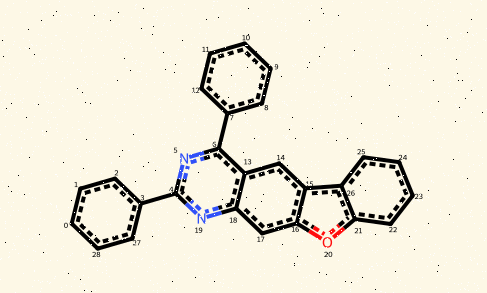 c1ccc(-c2nc(-c3ccccc3)c3cc4c(cc3n2)oc2ccccc24)cc1